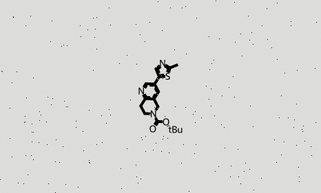 Cc1ncc(-c2cnc3c(c2)CN(C(=O)OC(C)(C)C)CC3)s1